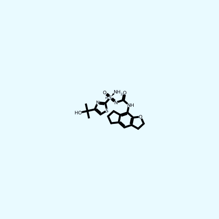 CC(C)(O)c1csc([S@](N)(=O)=NC(=O)Nc2c3c(cc4c2OCC4)CCC3)n1